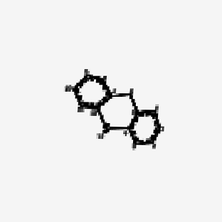 [c]1cccc2c1Cc1ccccc1S2